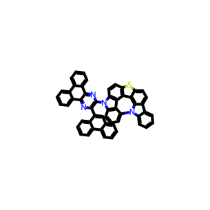 c1ccc2c(c1)cc(-c1nc3c4ccccc4c4ccccc4c3nc1-n1c3ccc4sc5ccc6c7ccccc7n7c8cccc1c8c3c4c5c67)c1ccccc12